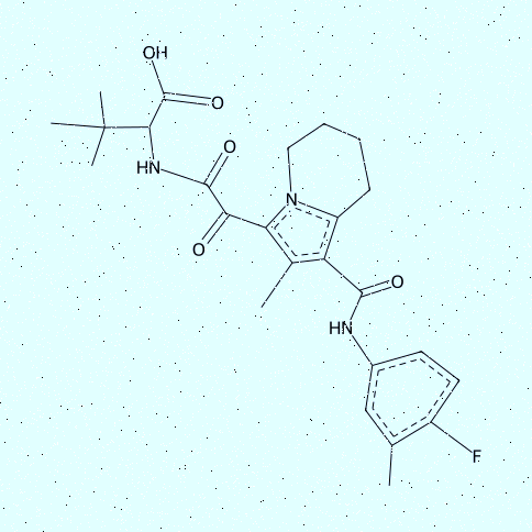 Cc1cc(NC(=O)c2c(C)c(C(=O)C(=O)NC(C(=O)O)C(C)(C)C)n3c2CCCC3)ccc1F